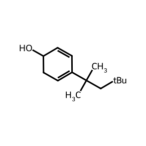 CC(C)(C)CC(C)(C)C1=CCC(O)C=C1